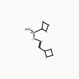 CO[SiH](OC=CC1CCC1)C1CCC1